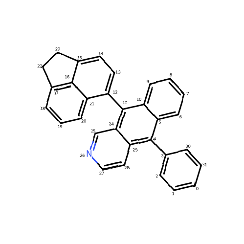 c1ccc(-c2c3ccccc3c(-c3ccc4c5c(cccc35)CC4)c3cnccc23)cc1